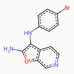 Nc1oc2cnccc2c1Nc1ccc(Br)cc1